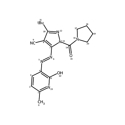 Cc1ccc(N=Nc2c(C#N)c(C(C)(C)C)nn2C(=O)N2CCCC2)c(O)n1